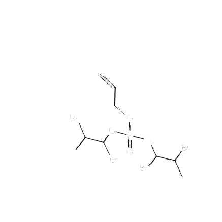 C=CCOP(=O)(OC(Br)C(C)Br)OC(Br)C(C)Br